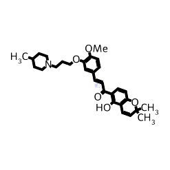 COc1ccc(/C=C/C(=O)c2ccc3c(c2O)C=CC(C)(C)O3)cc1OCCCN1CCC(C)CC1